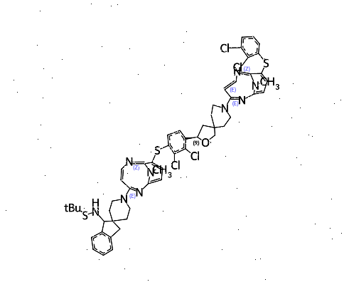 CN1C2=CC=C(Sc3cccc(Cl)c3Cl)/C1=N/C=C/C(N1CCC3(CC1)CO[C@@H](c1ccc(SC4=CC=C5/N=C(/N6CCC7(CC6)Cc6ccccc6C7NSC(C)(C)C)C=C/N=C/4N5C)c(Cl)c1Cl)C3)=N\2